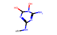 CCCNC1=NC(O)N(O)C(N)=N1